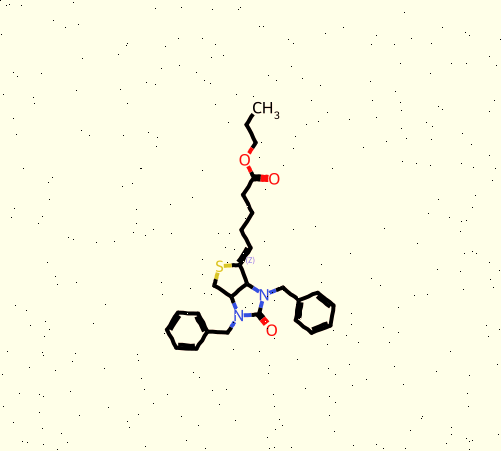 CCCOC(=O)CCC/C=C1\SCC2C1N(Cc1ccccc1)C(=O)N2Cc1ccccc1